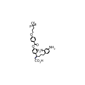 Nc1ccc(CCC/C(=C\C(=O)O)c2ccc(OC(=O)c3ccc(OCCCC(F)(F)C(F)(F)F)cc3)cc2)c(N)c1